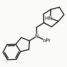 CCCN(CC1CC2CCC(C1)N2)C1Cc2ccccc2C1